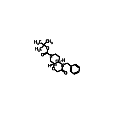 CC(C)(C)OC(=O)N1CC[C@@H]2[C@@H](C1)OCC(=O)N2Cc1ccccc1